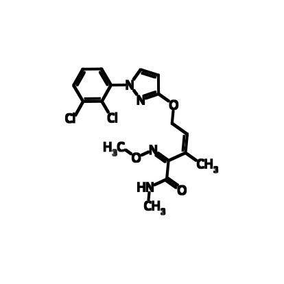 CNC(=O)C(=NOC)C(C)=CCOc1ccn(-c2cccc(Cl)c2Cl)n1